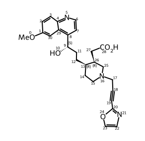 COc1ccc2nccc([C@@H](O)CC[C@@H]3CCN(CC#Cc4ncco4)C[C@@H]3CC(=O)O)c2c1